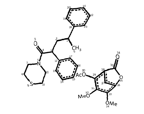 CC(CC(C(=O)N1CCSCC1)c1ccccc1)c1ccccc1.COc1c2cc(c(OC(C)=O)c1OC)C(=O)O2